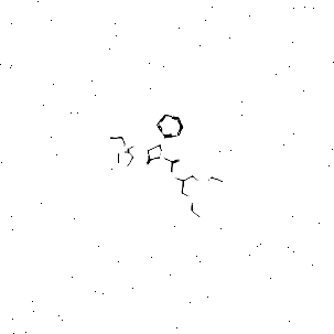 CCOCC(COCC)OC(=O)N1C(=O)[C@H](O[Si](CC)(CC)CC)[C@@H]1c1ccccc1